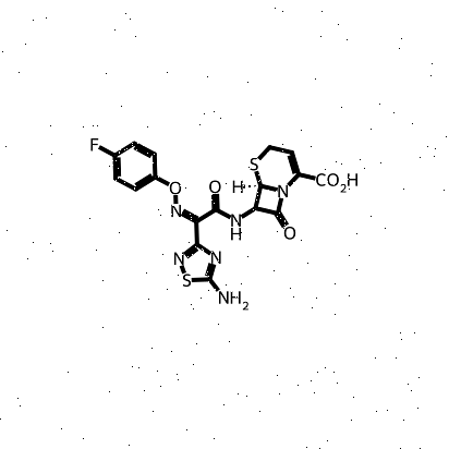 Nc1nc(/C(=N/Oc2ccc(F)cc2)C(=O)NC2C(=O)N3C(C(=O)O)=CCS[C@H]23)ns1